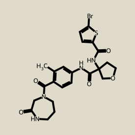 Cc1cc(NC(=O)C2(NC(=O)c3ccc(Br)s3)CCOC2)ccc1C(=O)N1CCCNC(=O)C1